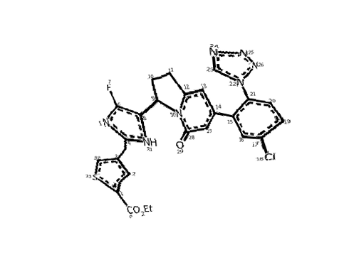 CCOC(=O)c1cc(-c2nc(F)c(C3CCc4cc(-c5cc(Cl)ccc5-n5cnnn5)cc(=O)n43)[nH]2)cs1